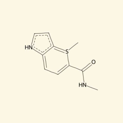 CNC(=O)C1=CC=c2[nH]ccc2=S1C